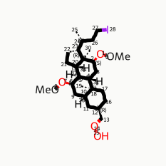 COO[C@H]1C[C@H]2[C@@H]([C@H](OOC)C[C@@H]3C[C@H](COO)CC[C@@]32C)[C@@H]2CC[C@H]([C@H](C)CCI)[C@@]12C